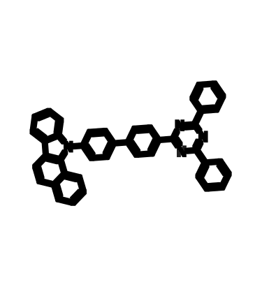 c1ccc(-c2nc(-c3ccccc3)nc(-c3ccc(-c4ccc(-n5c6ccccc6c6ccc7ccccc7c65)cc4)cc3)n2)cc1